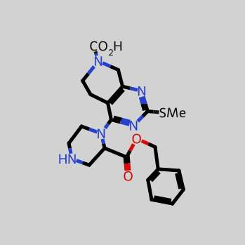 CSc1nc2c(c(N3CCNCC3C(=O)OCc3ccccc3)n1)CCN(C(=O)O)C2